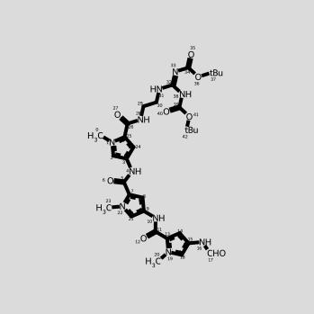 Cn1cc(NC(=O)c2cc(NC(=O)c3cc(NC=O)cn3C)cn2C)cc1C(=O)NCCNC(=NC(=O)OC(C)(C)C)NC(=O)OC(C)(C)C